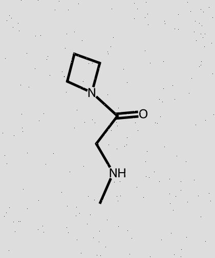 CNCC(=O)N1CCC1